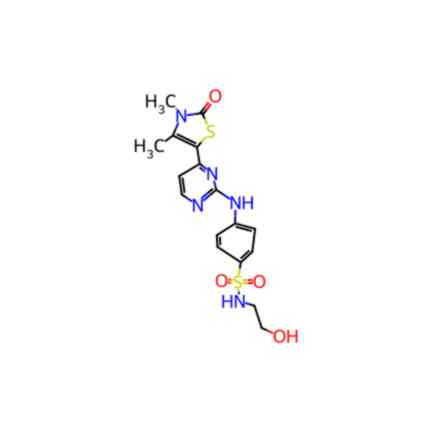 Cc1c(-c2ccnc(Nc3ccc(S(=O)(=O)NCCO)cc3)n2)sc(=O)n1C